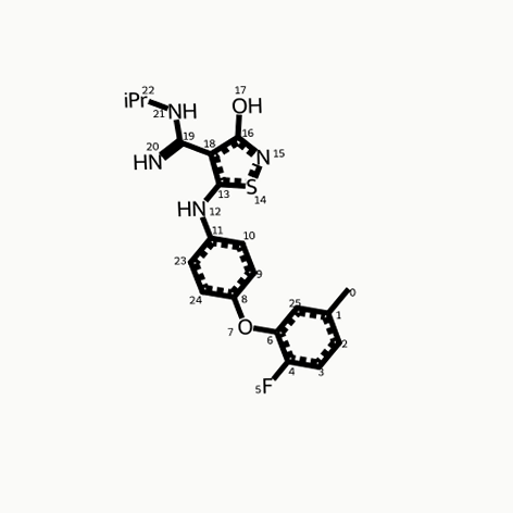 Cc1ccc(F)c(Oc2ccc(Nc3snc(O)c3C(=N)NC(C)C)cc2)c1